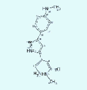 CN/C(Cl)=C\C(=C/N)c1cc(-c2ccc(NC)cc2)n[nH]1